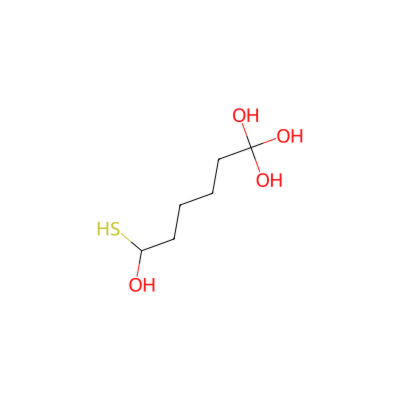 OC(S)CCCCC(O)(O)O